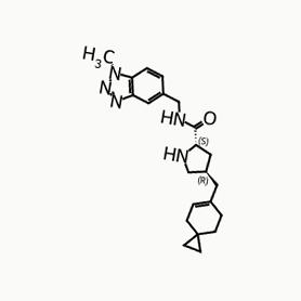 Cn1nnc2cc(CNC(=O)[C@@H]3C[C@@H](CC4=CCC5(CC4)CC5)CN3)ccc21